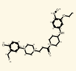 CCOc1cc(NC2CCN(C(=O)CCN3CCN(c4ccc(Cl)c(CF)c4)CC3)CC2)ccc1N=O